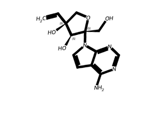 C=C[C@]1(O)CO[C@](CO)(n2ccc3c(N)ncnc32)[C@H]1O